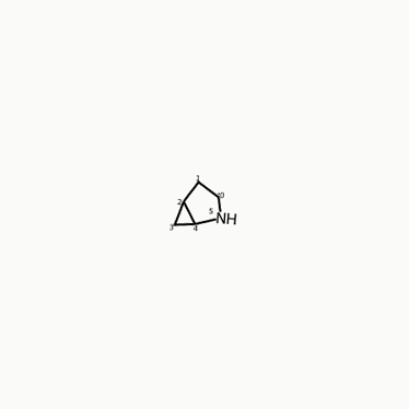 [CH]1CC2CC2N1